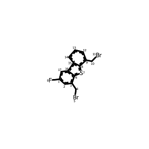 Fc1cc(CBr)c2sc3c(CBr)cccc3c2c1